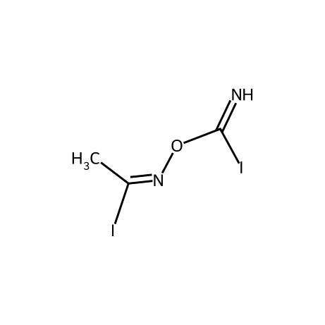 C/C(I)=N\OC(=N)I